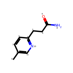 Cc1ccc(CCC(N)=O)nc1